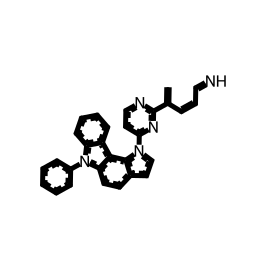 C=C(/C=C\C=N)c1nccc(-n2ccc3ccc4c(c5ccccc5n4-c4ccccc4)c32)n1